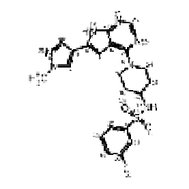 Cn1cc(-c2cc3c(N4CCC(NS(=O)(=O)c5cccc(Cl)c5)CC4)ncnc3[nH]2)cn1